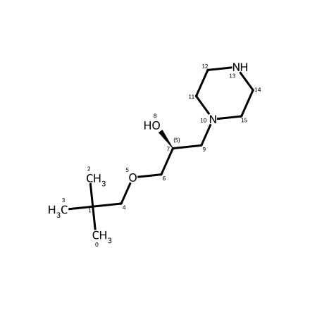 CC(C)(C)COC[C@@H](O)CN1CCNCC1